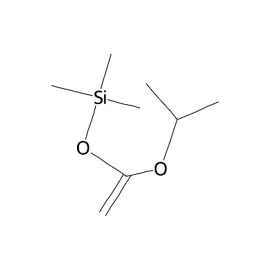 C=C(OC(C)C)O[Si](C)(C)C